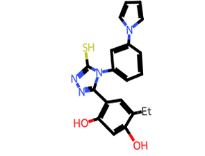 CCc1cc(-c2nnc(S)n2-c2cccc(-n3cccc3)c2)c(O)cc1O